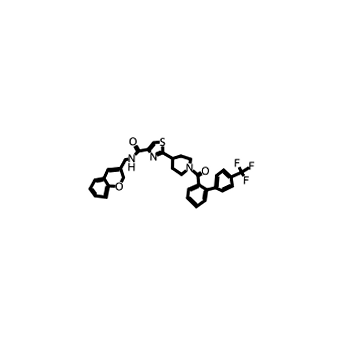 O=C(NCC1=Cc2ccccc2OC1)c1csc(C2CCN(C(=O)c3ccccc3-c3ccc(C(F)(F)F)cc3)CC2)n1